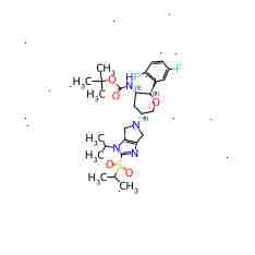 CC(C)n1c(S(=O)(=O)C(C)C)nc2c1CN([C@H]1CO[C@H](c3cc(F)ccc3F)[C@@H](NC(=O)OC(C)(C)C)C1)C2